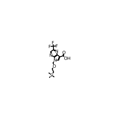 C[Si](C)(C)CCOCn1cc(C(=O)O)c2nc(C(F)(F)F)cnc21